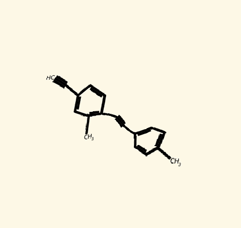 C#Cc1ccc(C#Cc2ccc(C)cc2)c(C)c1